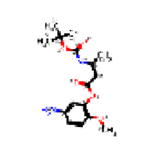 COc1ccc(N)cc1OC(=O)CC(C)NC(=O)OC(C)(C)C